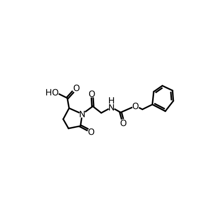 O=C(NCC(=O)N1C(=O)CCC1C(=O)O)OCc1ccccc1